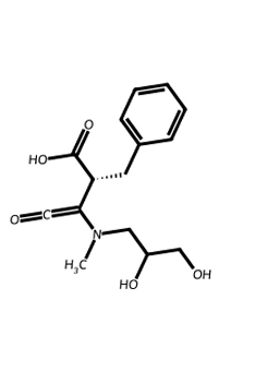 CN(CC(O)CO)C(=C=O)[C@@H](Cc1ccccc1)C(=O)O